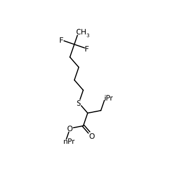 CCCOC(=O)C(CC(C)C)SCCCCC(C)(F)F